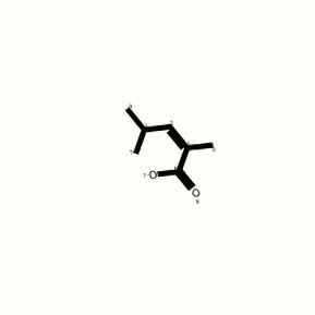 CC(=CC(C)C)C([O])=O